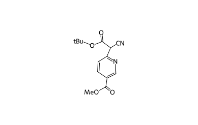 COC(=O)c1ccc(C(C#N)C(=O)OC(C)(C)C)nc1